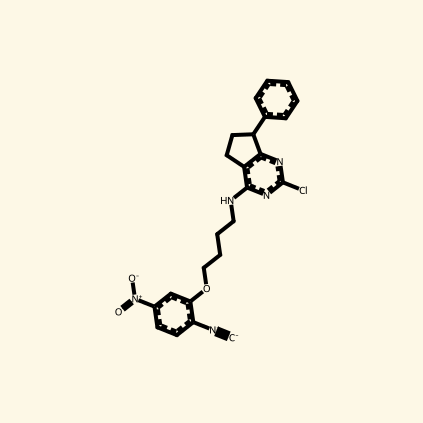 [C-]#[N+]c1ccc([N+](=O)[O-])cc1OCCCCNc1nc(Cl)nc2c1CCC2c1ccccc1